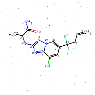 C=CCC(F)(F)c1cc(Cl)c2nc(NC(C)C(N)=O)nn2c1